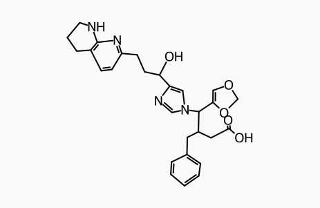 O=C(O)CC(Cc1ccccc1)C(C1=COCO1)n1cnc(C(O)CCc2ccc3c(n2)NCCC3)c1